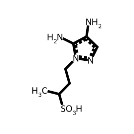 CC(CCn1ncc(N)c1N)S(=O)(=O)O